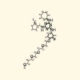 CCN1CCCC1CNc1nc(Nc2ccc(OCCOCCOCCOCCCOC)c(F)c2)nc(NC2CCCCCC2)n1